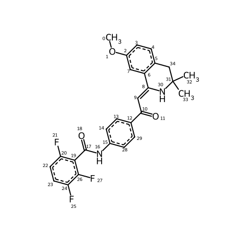 COc1ccc2c(c1)/C(=C/C(=O)c1ccc(NC(=O)c3c(F)ccc(F)c3F)cc1)NC(C)(C)C2